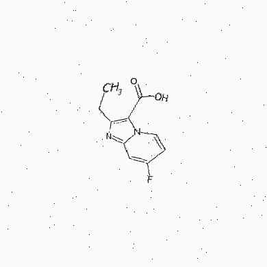 CCc1nc2cc(F)ccn2c1C(=O)O